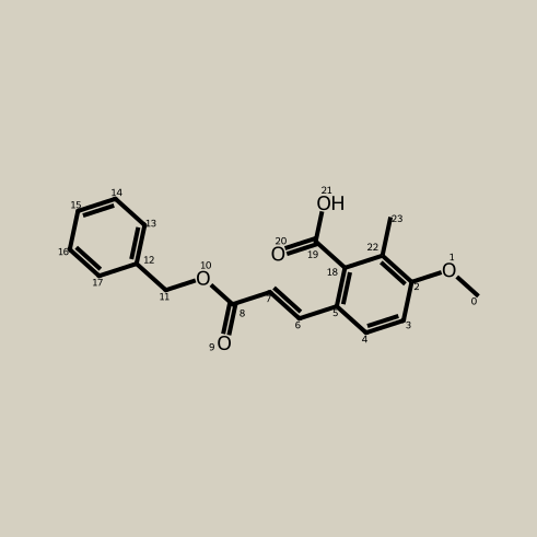 COc1ccc(C=CC(=O)OCc2ccccc2)c(C(=O)O)c1C